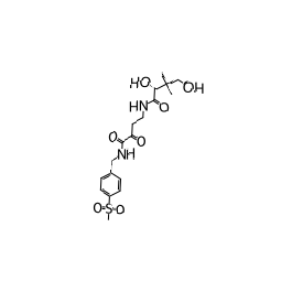 CC(C)(CO)[C@@H](O)C(=O)NCCC(=O)C(=O)NCc1ccc(S(C)(=O)=O)cc1